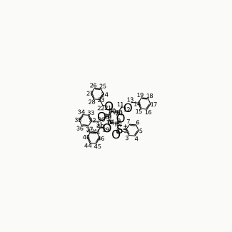 [O-][S+](c1ccccc1)[C@@H]1O[C@H](COCc2ccccc2)[C@@H](OCc2ccccc2)[C@H](OCc2ccccc2)[C@@H]1OCc1ccccc1